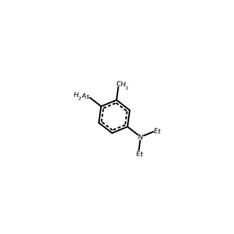 CCN(CC)c1ccc([AsH2])c(C)c1